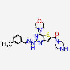 Cc1cccc(/C=N/Nc2nc(N3CCOCC3)c3sc(C(=O)N4CCNCC4)cc3n2)c1